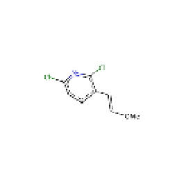 COC=Cc1ccc(Cl)nc1Cl